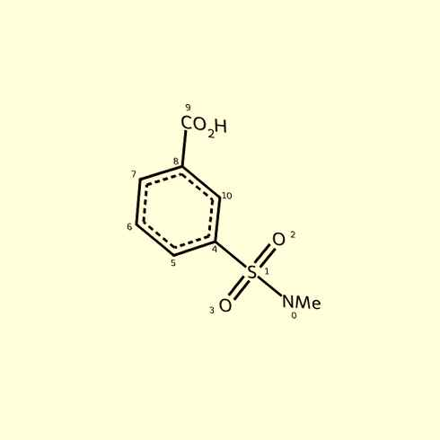 [CH2-][NH2+]S(=O)(=O)c1cccc(C(=O)O)c1